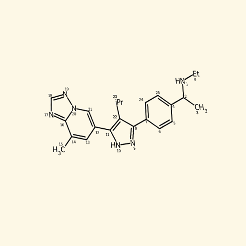 CCNC(C)c1ccc(-c2n[nH]c(-c3cc(C)c4ncnn4c3)c2C(C)C)cc1